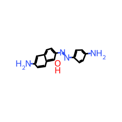 Nc1ccc(N=Nc2ccc3cc(N)ccc3c2O)cc1